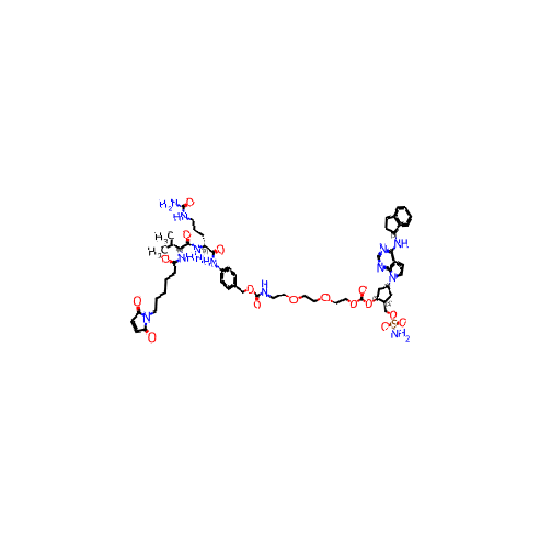 CC(C)[C@@H](NC(=O)CCCCCN1C(=O)C=CC1=O)C(=O)N[C@H](CCCNC(N)=O)C(=O)Nc1ccc(COC(=O)NCCOCCOCCOC(=O)O[C@H]2C[C@H](n3ccc4c(N[C@H]5CCc6ccccc65)ncnc43)C[C@H]2COS(N)(=O)=O)cc1